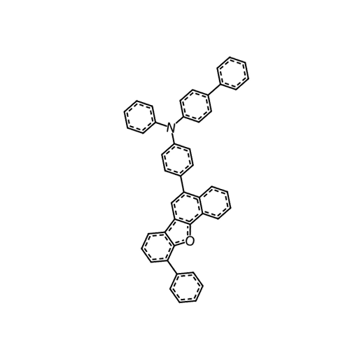 c1ccc(-c2ccc(N(c3ccccc3)c3ccc(-c4cc5c6cccc(-c7ccccc7)c6oc5c5ccccc45)cc3)cc2)cc1